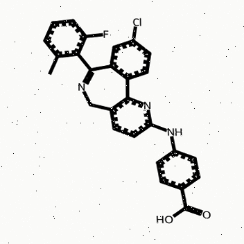 Cc1cccc(F)c1C1=NCc2ccc(Nc3ccc(C(=O)O)cc3)nc2-c2ccc(Cl)cc21